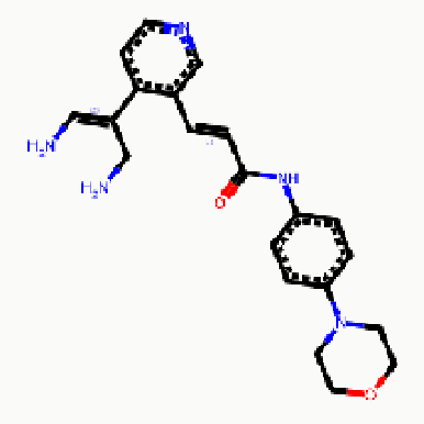 N/C=C(\CN)c1ccncc1/C=C/C(=O)Nc1ccc(N2CCOCC2)cc1